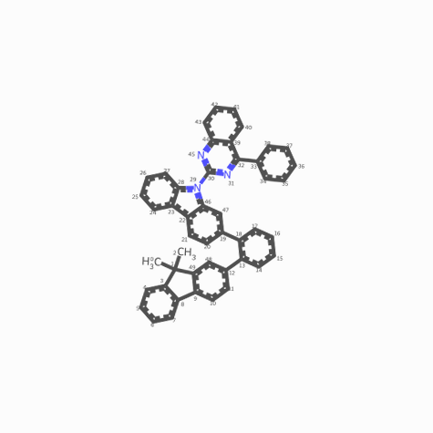 CC1(C)c2ccccc2-c2ccc(-c3ccccc3-c3ccc4c5ccccc5n(-c5nc(-c6ccccc6)c6ccccc6n5)c4c3)cc21